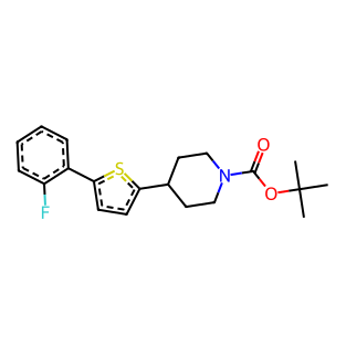 CC(C)(C)OC(=O)N1CCC(c2ccc(-c3ccccc3F)s2)CC1